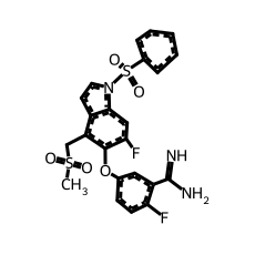 CS(=O)(=O)Cc1c(Oc2ccc(F)c(C(=N)N)c2)c(F)cc2c1ccn2S(=O)(=O)c1ccccc1